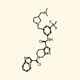 CN(C)CC1CCN(Cc2cc(NC(=O)c3csc4c3CCN(C(=O)c3cnc5ccccn35)C4)cc(C(F)(F)F)c2)C1